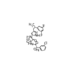 CC(NC(=O)C(O)c1cccc(Cl)c1)C(=O)Nc1cc(CC(C)c2cc(F)cc(F)c2)n[nH]1